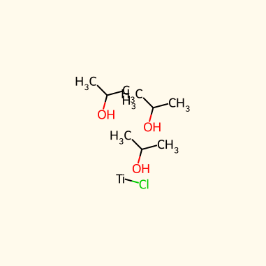 CC(C)O.CC(C)O.CC(C)O.[Cl][Ti]